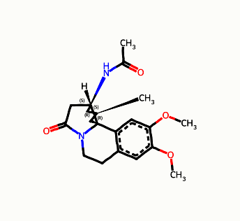 COc1cc2c(cc1OC)[C@@]13C[C@H](C)[C@@H](NC(C)=O)[C@@H]1CC(=O)N3CC2